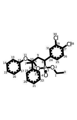 CCOP(=O)(OCC)C(CC(Oc1ccccc1)c1ccccc1)c1ccc(Cl)c(Cl)c1